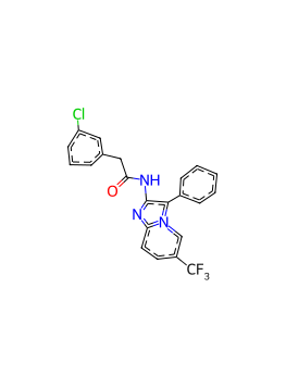 O=C(Cc1cccc(Cl)c1)Nc1nc2ccc(C(F)(F)F)cn2c1-c1ccccc1